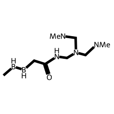 CBBCC(=O)NCN(CNC)CNC